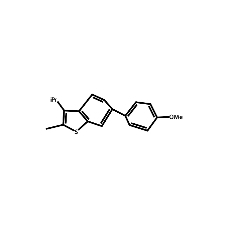 COc1ccc(-c2ccc3c(C(C)C)c(C)sc3c2)cc1